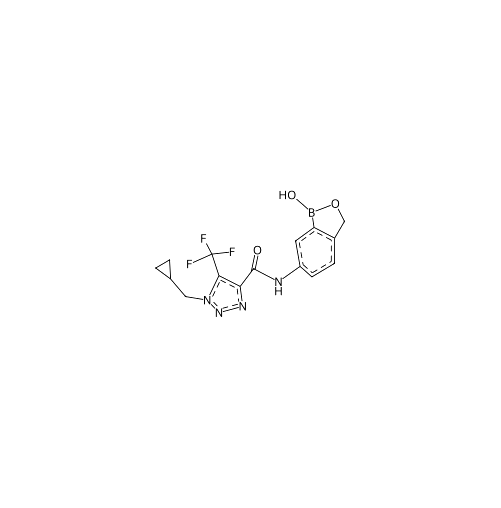 O=C(Nc1ccc2c(c1)B(O)OC2)c1nnn(CC2CC2)c1C(F)(F)F